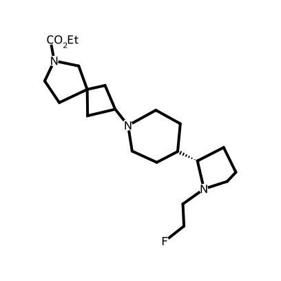 CCOC(=O)N1CCC2(CC(N3CCC([C@@H]4CCCN4CCF)CC3)C2)C1